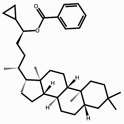 C[C@H](CC[C@H](OC(=O)c1ccccc1)C1CC1)[C@H]1CC[C@H]2[C@@H]3CC[C@H]4CC(C)(C)CC[C@]4(C)[C@H]3CC[C@]12C